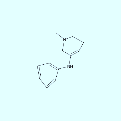 CN1CCC=C(Nc2ccccc2)C1